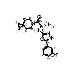 C[C@H](Nc1nnc(-c2cccc(F)c2)o1)C(=O)N1CCC2(CC1)CC2